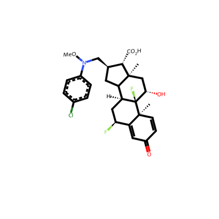 CON(C[C@@H]1CC2[C@@H]3C[C@H](F)C4=CC(=O)C=C[C@]4(C)[C@@]3(F)[C@@H](O)C[C@]2(C)[C@H]1C(=O)O)c1ccc(Cl)cc1